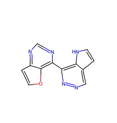 c1nc(-c2nncc3cc[nH]c23)c2occc2n1